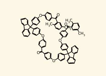 Cc1ccc(C)c(C(=O)c2ccc(Oc3ccc(C4(c5ccc(Oc6ccc(C(=O)c7ccc(Oc8ccc(C9(c%10ccc(Oc%11ccc(C(=O)c%12cc(C)ccc%12C)cc%11)cc%10)c%10ccccc%10-c%10ccccc%109)cc8)cc7)cc6)cc5)c5ccccc5-c5ccccc54)cc3)cc2)c1